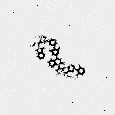 Cc1cccc(C)c1-c1cncc([C@H](CC(=O)O)NC(=O)C(CC(C)C)N2C(=O)CC(c3cc(C)c(-c4cncc([C@H](CC(=O)O)NC(=O)[C@@H](CC(C)C)N5Cc6ccccc6C5=O)c4)c(C)c3)c3ccccc32)c1